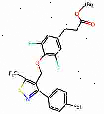 CCc1ccc(-c2nsc(C(F)(F)F)c2COc2c(F)cc(CCC(=O)OC(C)(C)C)cc2F)cc1